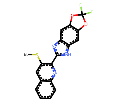 CCSc1cc2ccccc2nc1-c1nc2cc3c(cc2[nH]1)OC(F)(F)O3